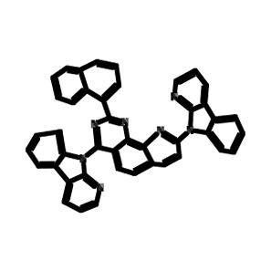 c1ccc2c(-c3nc(-n4c5ccccc5c5cccnc54)c4ccc5ccc(-n6c7ccccc7c7cccnc76)nc5c4n3)cccc2c1